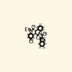 CCN(C(=O)[C@@H]1C[C@@H](C)N(C(=O)c2cc3ccccc3s2)c2ccccc21)c1ccc(Cl)cc1